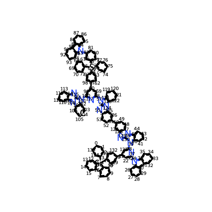 c1ccc([Si](c2ccccc2)(c2ccccc2)c2ccc(-c3cc(-n4c5ccccc5c5ccccc54)nc(-n4c5ccccc5n5c6ccc(-c7ccc8nc9n(-c%10cc(-c%11ccc([Si](c%12ccccc%12)(c%12ccccc%12)c%12cccc(-n%13c%14ccccc%14c%14ccccc%14%13)c%12)cc%11)cc(-n%11c%12ccccc%12n%12c%13ccccc%13nc%11%12)n%10)c%10ccccc%10n9c8c7)cc6nc45)c3)cc2)cc1